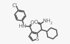 NC(=O)[C](c1sccc1C(=O)Nc1ccc(Cl)cc1)C1CCCCC1